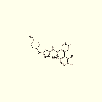 COc1cnc(Cl)c(F)c1-c1cc(C)ncc1C(=O)Nc1nnc(OC2CCC(O)CC2)s1